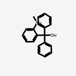 CNc1ccccc1C(O)(c1ccccc1)c1ccccc1